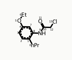 CCCc1ccc(OCC)cc1NC(=O)CCl